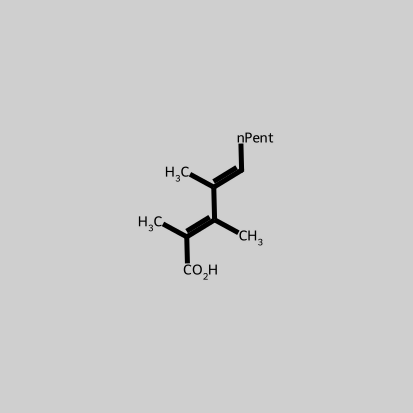 CCCCC/C=C(C)/C(C)=C(\C)C(=O)O